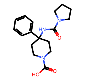 O=C(O)N1CCC(NC(=O)N2CCCC2)(c2ccccc2)CC1